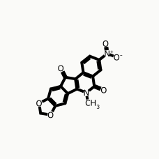 Cn1c2c(c3ccc([N+](=O)[O-])cc3c1=O)C(=O)c1cc3c(cc1-2)OCO3